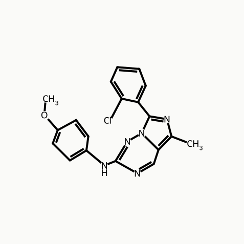 COc1ccc(Nc2ncc3c(C)nc(-c4ccccc4Cl)n3n2)cc1